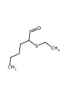 CCCCC(C=O)SCC